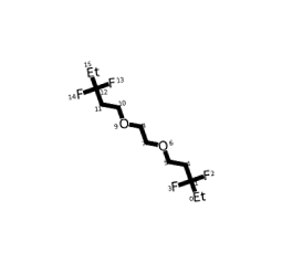 CCC(F)(F)CCOCCOCCC(F)(F)CC